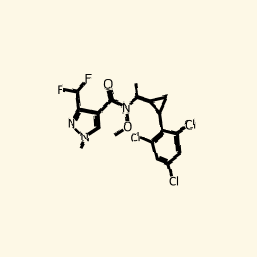 CON(C(=O)c1cn(C)nc1C(F)F)C(C)C1CC1c1c(Cl)cc(Cl)cc1Cl